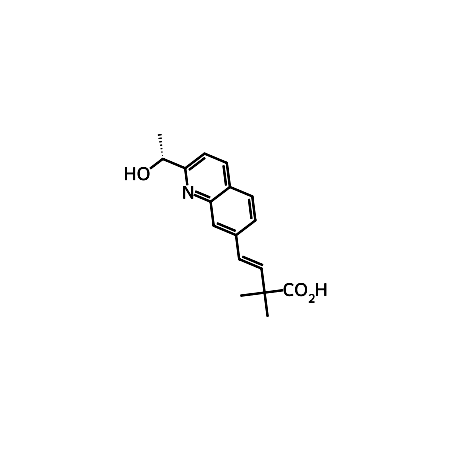 C[C@@H](O)c1ccc2ccc(/C=C/C(C)(C)C(=O)O)cc2n1